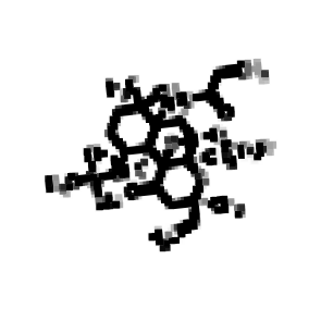 C=CC(=O)O[C@H]1[C@H]2C(C)(C)CC[C@H](O[Si](C)(C)C(C)(C)C)[C@]2(C)[C@@]2(O)C(=O)C[C@](C)(C=C)O[C@]2(C)[C@H]1OC(=O)OCC